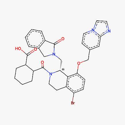 O=C(O)C1CCCCC1C(=O)N1CCc2c(Br)ccc(OCc3ccn4ccnc4c3)c2[C@H]1CN1Cc2ccccc2C1=O